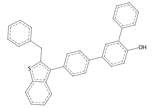 Oc1ccc(-c2ccc(-c3c(Cc4ccccc4)sc4ccccc34)cc2)cc1-c1ccccc1